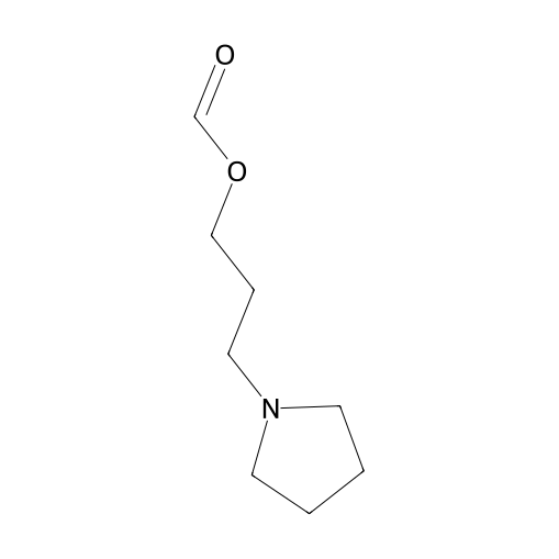 O=COCCCN1CCCC1